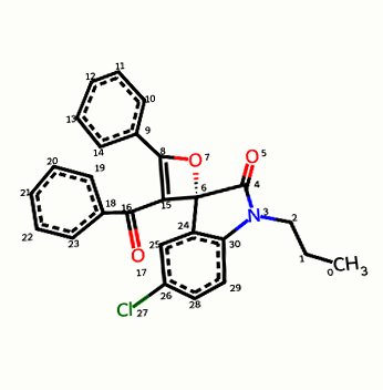 CCCN1C(=O)[C@@]2(OC(c3ccccc3)=C2C(=O)c2ccccc2)c2cc(Cl)ccc21